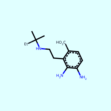 CCC(C)(C)NCCc1c(C(=O)O)ccc(N)c1N